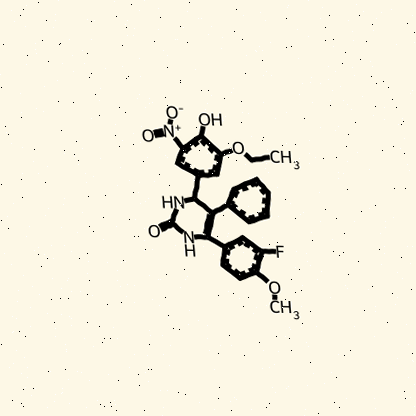 CCOc1cc(C2NC(=O)NC(c3ccc(OC)c(F)c3)=C2c2ccccc2)cc([N+](=O)[O-])c1O